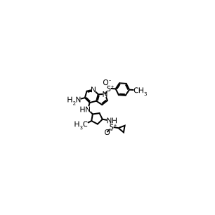 Cc1ccc([S+]([O-])n2ccc3c(NC4CC(N[S+]([O-])C5CC5)CC4C)c(N)cnc32)cc1